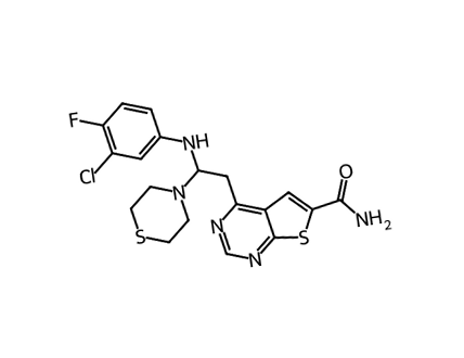 NC(=O)c1cc2c(CC(Nc3ccc(F)c(Cl)c3)N3CCSCC3)ncnc2s1